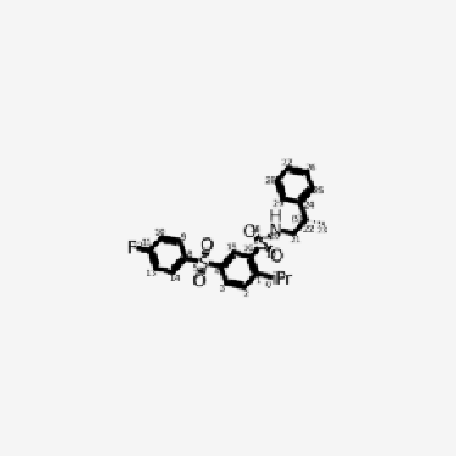 CC(C)c1ccc(S(=O)(=O)c2ccc(F)cc2)cc1S(=O)(=O)NC[C@@H](C)c1ccccc1